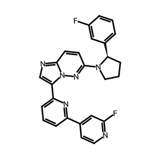 Fc1cccc([C@H]2CCCN2c2ccc3ncc(-c4cccc(-c5ccnc(F)c5)n4)n3n2)c1